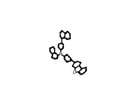 C1=C(c2ccc(N(c3ccc(-c4cccc5ccccc45)cc3)c3cccc4ccccc34)cc2)CC2Oc3ccccc3C2C1